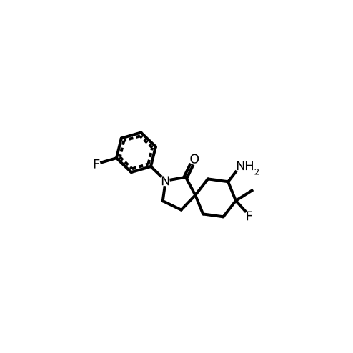 CC1(F)CCC2(CCN(c3cccc(F)c3)C2=O)CC1N